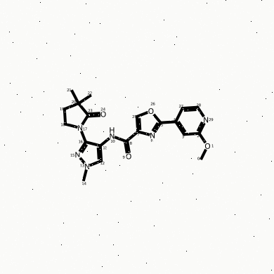 COc1cc(-c2nc(C(=O)Nc3cn(C)nc3N3CCC(C)(C)C3=O)co2)ccn1